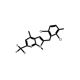 Cc1ccc(Cl)c(Cc2cc3c(C)cc(C(F)(F)F)nc3n2C)c1Cl